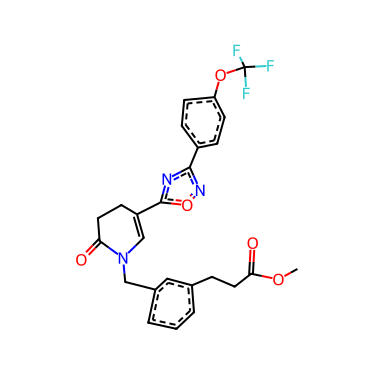 COC(=O)CCc1cccc(CN2C=C(c3nc(-c4ccc(OC(F)(F)F)cc4)no3)CCC2=O)c1